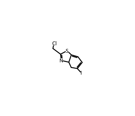 ClCC1=NC2CC(I)=CC=C2S1